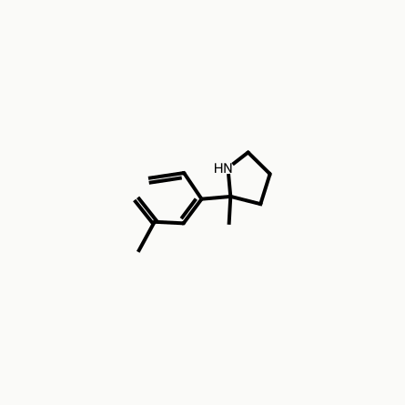 C=C/C(=C\C(=C)C)C1(C)CCCN1